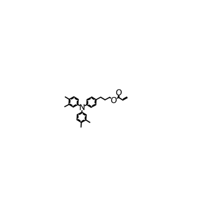 C=CC(=O)OCCCc1ccc(N(c2ccc(C)c(C)c2)c2ccc(C)c(C)c2)cc1